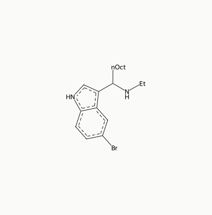 CCCCCCCCC(NCC)c1c[nH]c2ccc(Br)cc12